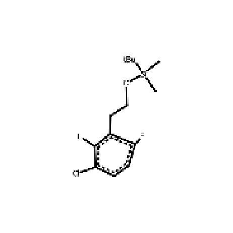 CC(C)(C)[Si](C)(C)OCCc1c(F)ccc(Cl)c1F